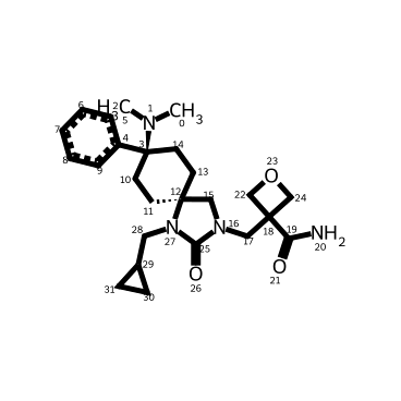 CN(C)[C@]1(c2ccccc2)CC[C@]2(CC1)CN(CC1(C(N)=O)COC1)C(=O)N2CC1CC1